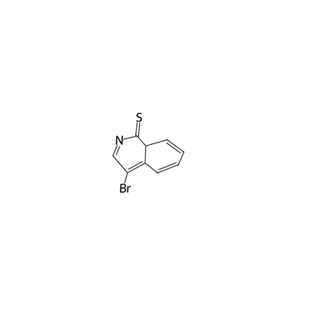 S=C1N=CC(Br)=C2C=CC=CC12